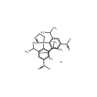 CC(C)c1cc([N+](=O)[O-])cc(C(C)C)c1[N+]1(c2c(C(C)C)cc([N+](=O)[O-])cc2C(C)C)C=NCC1.[Cl-]